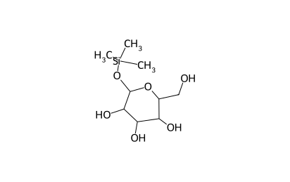 C[Si](C)(C)OC1OC(CO)C(O)C(O)C1O